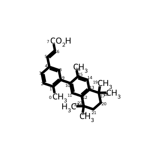 Cc1ccc(C=CC(=O)O)cc1-c1cc2c(cc1C)C(C)(C)CCC2(C)C